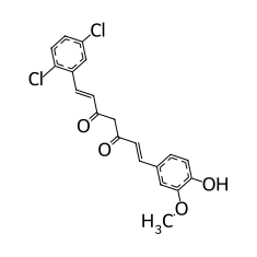 COc1cc(/C=C/C(=O)CC(=O)/C=C/c2cc(Cl)ccc2Cl)ccc1O